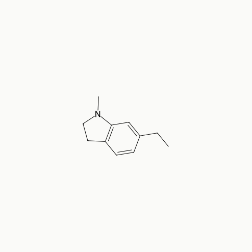 CCc1ccc2c(c1)N(C)CC2